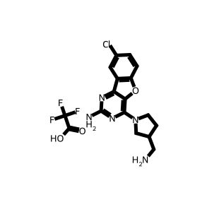 NCC1CCN(c2nc(N)nc3c2oc2ccc(Cl)cc23)C1.O=C(O)C(F)(F)F